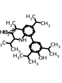 CC(C)c1cc(-c2cc(C(C)C)c(O)c(C(C)C)c2)c(NC(C(=O)O)C(C)C)c(C(C)C)c1